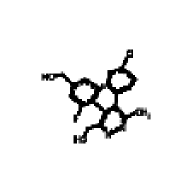 Cc1nnc(CO)c(-c2c(F)cc(CO)cc2F)c1-c1ccc(Cl)cc1